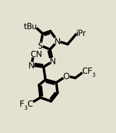 CC(C)Cn1cc(C(C)(C)C)sc1=NC(=NC#N)c1cc(C(F)(F)F)ccc1OCC(F)(F)F